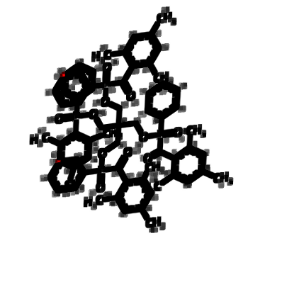 Cc1cc(C)c(C(=O)P(=O)(OCC(COP(=O)(C(=O)c2c(C)cc(C)cc2C)c2ccccc2)(COP(=O)(C(=O)c2c(C)cc(C)cc2C)c2ccccc2)COP(=O)(c2ccccc2)c2c(C)cc(C)cc2C)c2ccccc2)c(C)c1